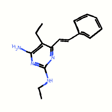 CCNc1nc(N)c(CC)c(C=Cc2ccccc2)n1